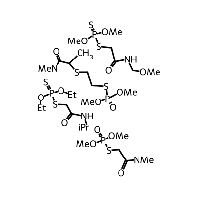 CCOP(=S)(OCC)SCC(=O)NC(C)C.CNC(=O)C(C)SCCSP(=O)(OC)OC.CNC(=O)CSP(=O)(OC)OC.COCNC(=O)CSP(=S)(OC)OC